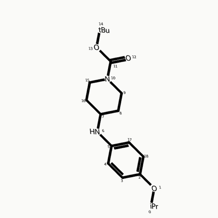 CC(C)Oc1ccc(NC2CCN(C(=O)OC(C)(C)C)CC2)cc1